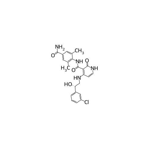 Cc1cc(C(N)=O)cc(C)c1NC(=O)c1c(NC[C@@H](O)c2cccc(Cl)c2)cc[nH]c1=O